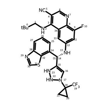 CC(C)(C)CNc1c(C#N)cnc2c(F)cc(N[C@H](C3=CN(C4(C(F)(F)F)CC4)NN3)c3cccc4ncsc34)cc12